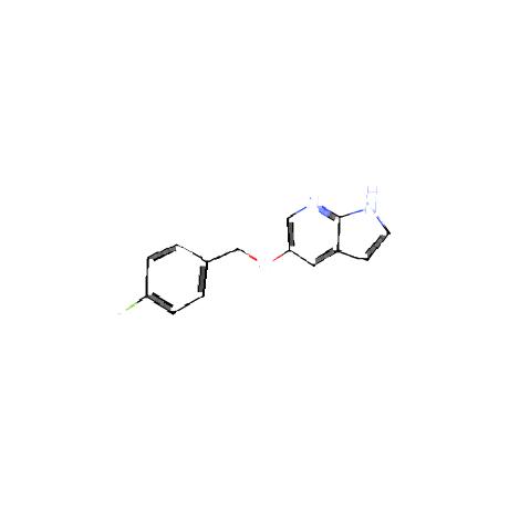 Fc1ccc(COc2cnc3[nH]ccc3c2)cc1